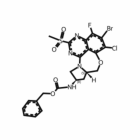 CS(=O)(=O)c1nc2c3c(c(Cl)c(Br)c(F)c3n1)OC[C@@H]1C[C@@H](NC(=O)OCc3ccccc3)CN21